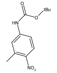 Cc1cc(NC(=O)OC(C)(C)C)ccc1[N+](=O)[O-]